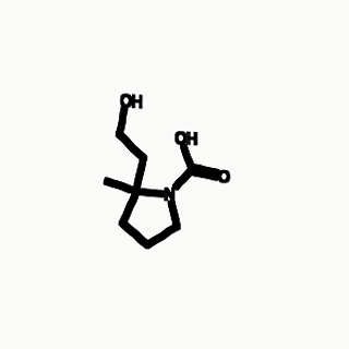 CC1(CCO)CCCN1C(=O)O